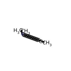 CCCCOCCOOOOOOOOOOOOOOOOOOO/C=C\CCC(C)C